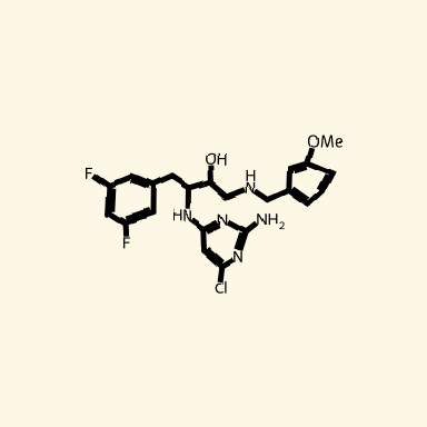 COc1cccc(CNCC(O)C(Cc2cc(F)cc(F)c2)Nc2cc(Cl)nc(N)n2)c1